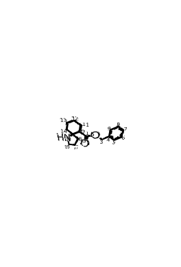 O=C(OCc1ccccc1)C1CCCCC12CCCN2